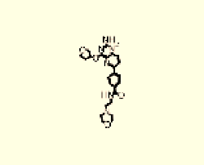 Nc1nc(OC2CCOC2)c2nc(-c3ccc(C(=O)NCCN4CCOCC4)cc3)ccc2n1